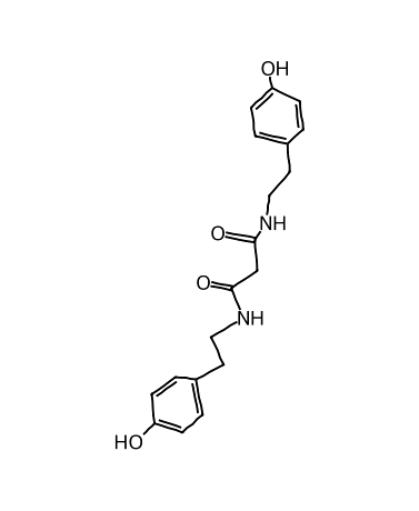 O=C(CC(=O)NCCc1ccc(O)cc1)NCCc1ccc(O)cc1